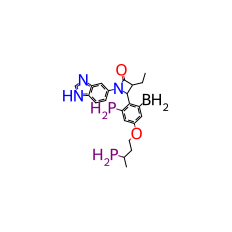 Bc1cc(OCCC(C)P)cc(P)c1C1C(CC)C(=O)N1c1ccc2[nH]cnc2c1